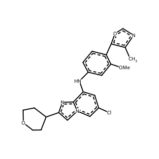 COc1cc(Nc2cc(Cl)cn3cc(C4CCOCC4)nc23)ccc1-c1ocnc1C